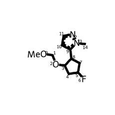 COCOC1CC(F)CC1c1ccnn1C